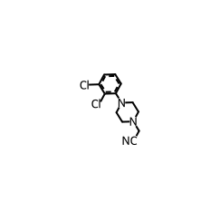 N#CCN1CCN(c2cccc(Cl)c2Cl)CC1